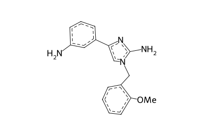 COc1ccccc1Cn1cc(-c2cccc(N)c2)nc1N